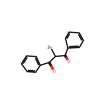 O=C(c1ccccc1)[CH]([Zn])C(=O)c1ccccc1